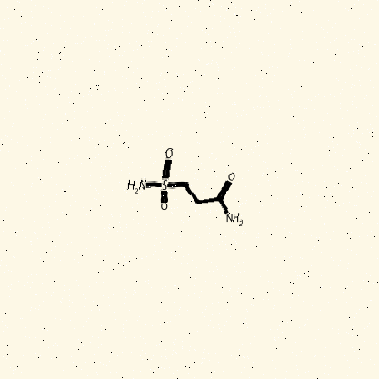 NC(=O)CCS(N)(=O)=O